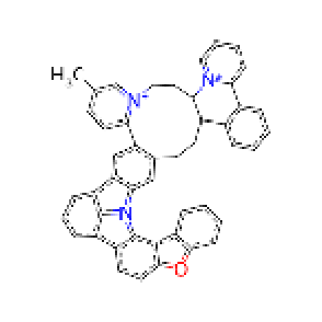 Cc1ccc2[n+](c1)CCC1C(CCc3cc4c(cc3-2)c2cccc3c5ccc6oc7ccccc7c6c5n4c23)c2ccccc2-c2cccc[n+]21